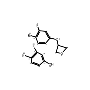 Fc1cc(OC2COC2)ccc1Br.Oc1ccc(Br)c(F)c1